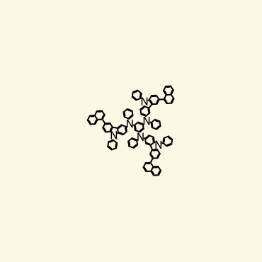 c1ccc(N(c2cc(N(c3ccccc3)c3ccc4c(c3)c3cc(-c5cccc6ccccc56)ccc3n4-c3ccccc3)cc(N(c3ccccc3)c3ccc4c(c3)c3cc(-c5cccc6ccccc56)ccc3n4-c3ccccc3)c2)c2ccc3c(c2)c2cc(-c4cccc5ccccc45)ccc2n3-c2ccccc2)cc1